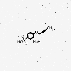 CC#CCOc1ccc(S(=O)(=O)O)cc1.[NaH]